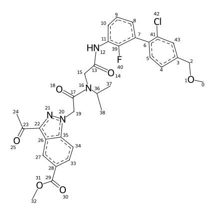 COCc1ccc(-c2cccc(NC(=O)CN(C(=O)Cn3nc(C(C)=O)c4cc(C(=O)OC)ccc43)C(C)C)c2F)c(Cl)c1